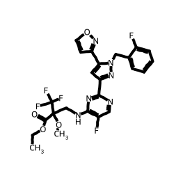 CCOC(=O)C(CNc1nc(-c2cc(-c3ccon3)n(Cc3ccccc3F)n2)ncc1F)(OC)C(F)(F)F